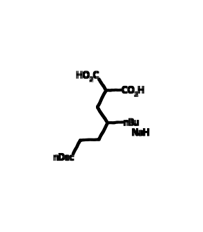 CCCCCCCCCCCCC(CCCC)CC(C(=O)O)C(=O)O.[NaH]